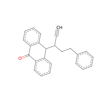 C#CC(CCc1ccccc1)C1c2ccccc2C(=O)c2ccccc21